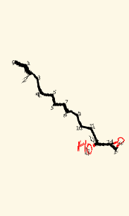 CCCCCCCCCCCCC(O)C1CO1